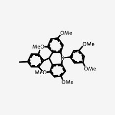 COc1cc(OC)cc(N2c3cc(OC)cc(OC)c3C(c3c(C)cc(C)cc3C)c3c(OC)cc(OC)cc32)c1